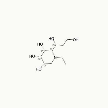 CCN1C[C@H](O)[C@H](O)[C@H](O)[C@@H]1[C@H](O)CCO